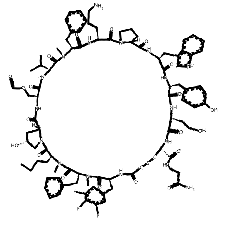 CCCC[C@H]1C(=O)N2C[C@H](O)C[C@@H]2C(=O)N[C@@H](COC=O)C(=O)N[C@@H](C(C)C)C(=O)N(C)[C@@H](Cc2ccccc2)C(=O)N[C@@H](CCCN)C(=O)N2CCC[C@@H]2C(=O)N[C@@H](Cc2c[nH]c3ccccc23)C(=O)N[C@@H](Cc2ccc(O)cc2)C(=O)N[C@@H](CCO)C(=O)N[C@H](C(=O)NCC(N)=O)CSCC(=O)N[C@@H](Cc2cc(F)c(F)c(F)c2)C(=O)N(C)[C@@H](Cc2ccccc2)C(=O)N1C